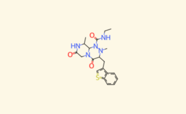 CCNC(=O)N1C2C(C)NC(=O)CN2C(=O)C(Cc2csc3ccccc23)N1C